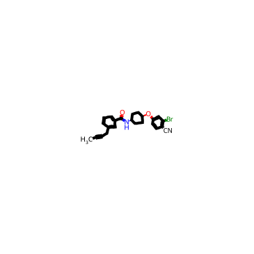 CC#CCc1cccc(C(=O)N[C@H]2CC[C@H](Oc3ccc(C#N)c(Br)c3)CC2)c1